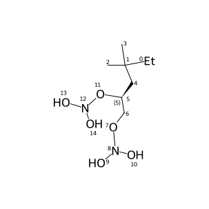 CCC(C)(C)C[C@@H](CON(O)O)ON(O)O